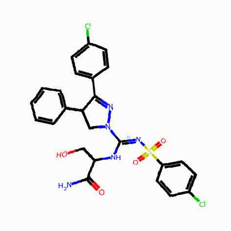 NC(=O)C(CO)N/C(=N\S(=O)(=O)c1ccc(Cl)cc1)N1CC(c2ccccc2)C(c2ccc(Cl)cc2)=N1